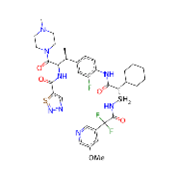 COc1cncc(C(F)(F)C(=O)N[SiH2][C@H](C(=O)Nc2ccc([C@H](C)[C@@H](NC(=O)c3cnns3)C(=O)N3CCN(C)CC3)cc2F)C2CCCCC2)c1